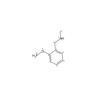 CNCc1ccccc1OP